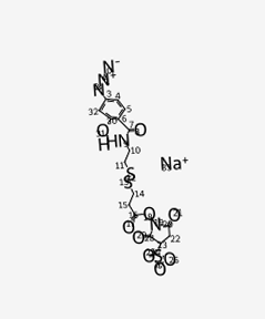 [N-]=[N+]=Nc1ccc(C(=O)NCCSSCCC(=O)ON2C(=O)CC(S(=O)(=O)[O-])C2=O)c(O)c1.[Na+]